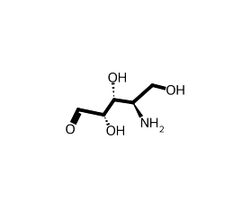 N[C@H](CO)[C@@H](O)[C@H](O)C=O